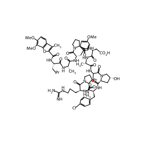 COc1ccc(C[C@H](NC(=O)[C@H](C)NC(=O)[C@H](CC(C)C)NC(=O)c2oc3c(OC)c(OC)ccc3c2C)C(=O)N2CCC[C@H]2C(=O)N[C@@H](CC(=O)O)C(=O)N[C@@H](C)C(=O)NC(C(=O)N2C[C@H](O)C[C@H]2C(=O)N[C@@H](Cc2ccc(Cl)cc2)C(=O)N[C@@H](CCCNC(=N)N)C(=O)N2CCC[C@H]2C(N)=O)C(C)C)cc1